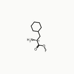 N[C@@H](CC1CCCCC1)C(=O)OF